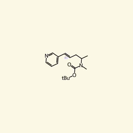 CC(C/C=C/c1cccnc1)N(C)C(=O)OC(C)(C)C